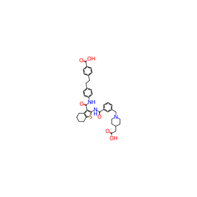 O=C(O)CC1CCN(Cc2cccc(C(=O)Nc3sc4c(c3C(=O)Nc3ccc(CCc5ccc(C(=O)O)cc5)cc3)CCCC4)c2)CC1